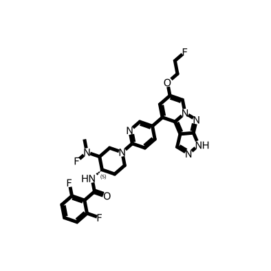 CN(F)C1CN(c2ccc(-c3cc(OCCF)cn4nc5[nH]ncc5c34)cn2)CC[C@@H]1NC(=O)c1c(F)cccc1F